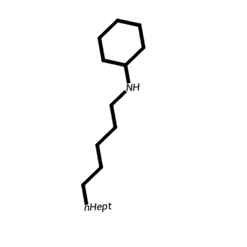 CCCCCCCCCCCCNC1CCCCC1